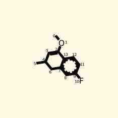 COC1=CC(C)Cc2cc(F)ccc21